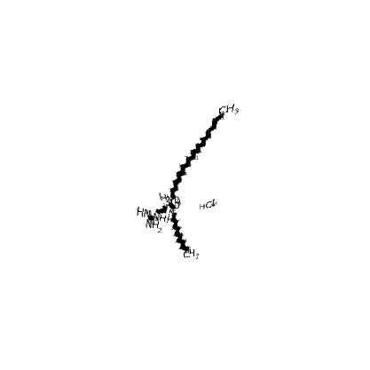 CCCCCCCCCCCCCCCCCCCCCC(=O)N[C@@H](CCCNC(=N)N)C(=O)NCCCCCCCCCCCC.Cl